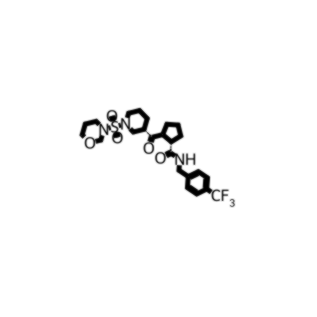 O=C(C1CCC[C@@H]1C(=O)NCc1ccc(C(F)(F)F)cc1)[C@H]1CCCN(S(=O)(=O)N2CCCOC2)C1